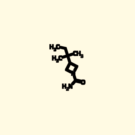 CCC(C)(C)C1CN(C(N)=O)C1